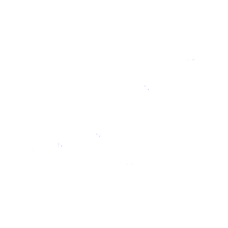 CN1CCN(c2cc(NCCO)cc3ccoc23)CC1